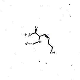 CCCCCNC(/C=C\CCO)C(N)=O